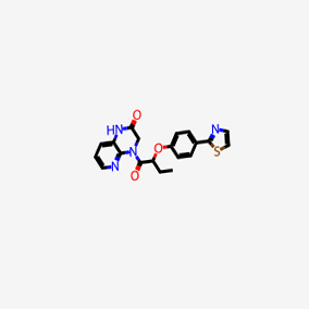 CCC(Oc1ccc(-c2nccs2)cc1)C(=O)N1CC(=O)Nc2cccnc21